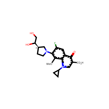 COc1c(N2CC[C@@H](C(O)CO)C2)c(F)cc2c(=O)c(C(=O)O)cn(C3CC3)c12